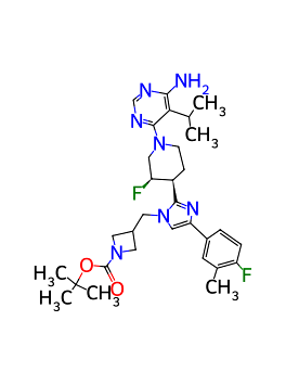 Cc1cc(-c2cn(CC3CN(C(=O)OC(C)(C)C)C3)c([C@@H]3CCN(c4ncnc(N)c4C(C)C)C[C@@H]3F)n2)ccc1F